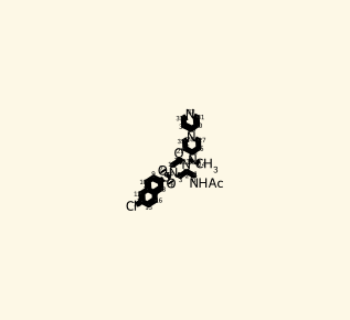 CC(=O)NCC1CN(S(=O)(=O)c2ccc3cc(Cl)ccc3c2)CC(=O)N1N(C)C1CCN(c2ccncc2)CC1